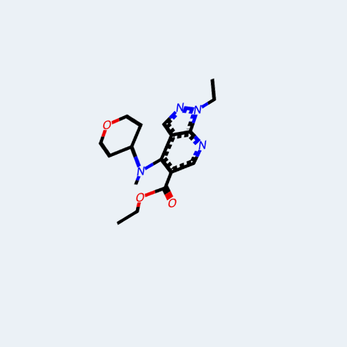 CCOC(=O)c1cnc2c(cnn2CC)c1N(C)C1CCOCC1